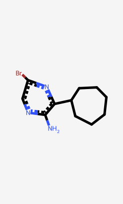 Nc1ncc(Br)nc1C1CCCCCC1